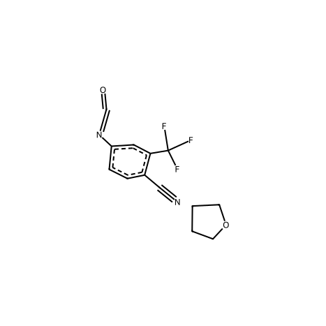 C1CCOC1.N#Cc1ccc(N=C=O)cc1C(F)(F)F